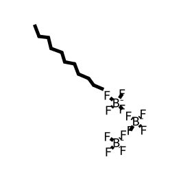 CCCCCCCCCCC.F[B-](F)(F)F.F[B-](F)(F)F.F[B-](F)(F)F